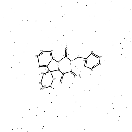 C=CC(=O)C1N(C(=O)OCc2ccccc2)c2ccccc2C12CCNCC2